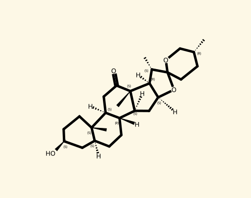 C[C@@H]1CCC2(OC1)O[C@H]1C[C@H]3[C@@H]4CC[C@H]5C[C@@H](O)CC[C@]5(C)[C@H]4CC(=O)[C@]3(C)[C@H]1[C@@H]2C